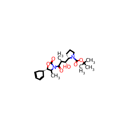 CC1[C@H](C2C=CC=CC2)OC(=O)N1C(=O)[C@H](C)[C@@H](O)[C@@H]1CCCN1C(=O)OC(C)(C)C